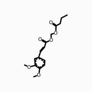 CCCC(=O)OCOC(=O)C=Cc1ccc(OC)c(OC)c1